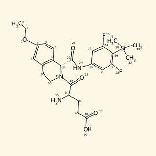 CCOc1ccc2c(c1)CCN(C(=O)C(N)CCC(=O)O)[C@H]2C(=O)Nc1cc(F)c([Si](C)(C)C)c(F)c1